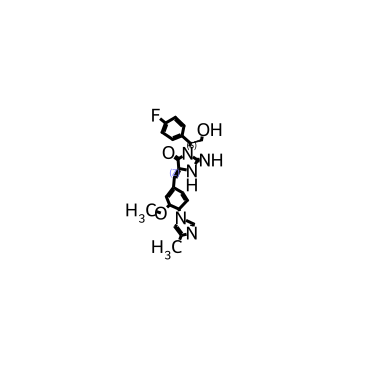 COC1C=C(/C=C2\NC(=N)N([C@H](CO)c3ccc(F)cc3)C2=O)C=CC1n1cnc(C)c1